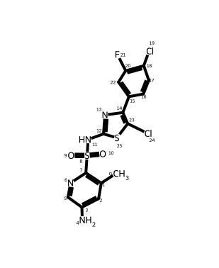 Cc1cc(N)cnc1S(=O)(=O)Nc1nc(-c2ccc(Cl)c(F)c2)c(Cl)s1